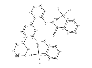 O=C(OCc1ccccc1-c1ccc(C2=CCNCC2)c(COc2ccccc2C(F)(F)F)c1)c1ccccc1C(F)(F)F